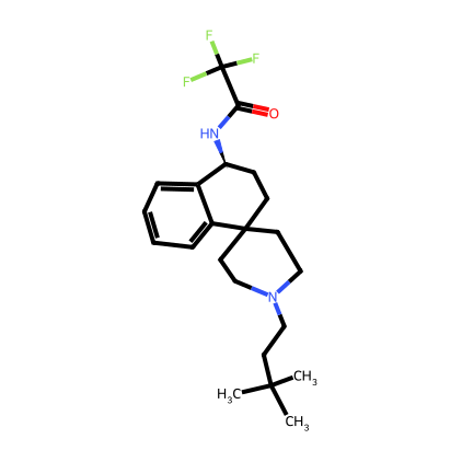 CC(C)(C)CCN1CCC2(CC[C@H](NC(=O)C(F)(F)F)c3ccccc32)CC1